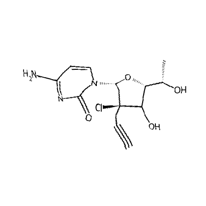 C#C[C@@]1(Cl)C(O)[C@@H]([C@H](C)O)O[C@H]1n1ccc(N)nc1=O